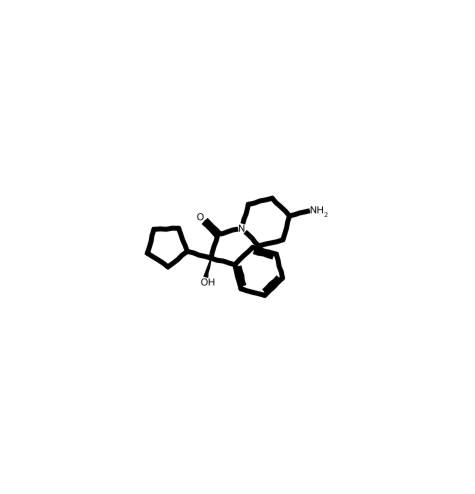 NC1CCN(C(=O)[C@](O)(c2ccccc2)C2CCCC2)CC1